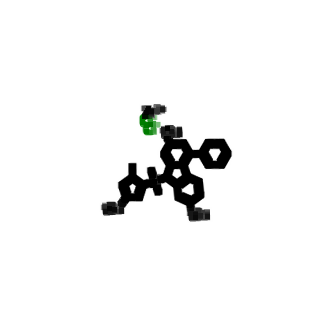 CC1C=C(C(C)(C)C)C=C1[Si](C)(C)C1c2cc(C(C)(C)C)ccc2-c2c(-c3ccccc3)cc(C(C)(C)C)cc21.[Cl-].[Cl-].[Zr+2]